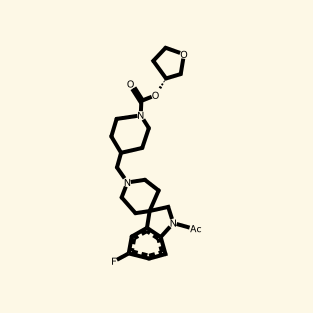 CC(=O)N1CC2(CCN(CC3CCN(C(=O)O[C@@H]4CCOC4)CC3)CC2)c2cc(F)ccc21